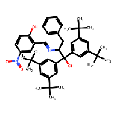 CC(C)(C)c1cc(C(C)(C)C)cc(C(O)(c2cc(C(C)(C)C)cc(C(C)(C)C)c2)C(Cc2ccccc2)N=Cc2cc([N+](=O)[O-])ccc2O)c1